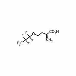 C=C(CCOC(F)(F)C(F)(F)C(F)(F)F)C(=O)O